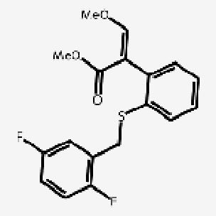 COC=C(C(=O)OC)c1ccccc1SCc1cc(F)ccc1F